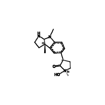 CN1c2ccc([C]3CC[N@@+](C)(O)C3=O)cc2[C@]2(C)CCNC12